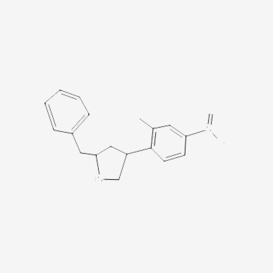 O=[N+]([O-])c1ccc(C2CNC(Cc3ccccc3)C2)c(F)c1